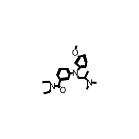 CCN(CC)C(=O)c1cccc(N(CC(C)N(C)C)c2cccc(OC)c2)c1